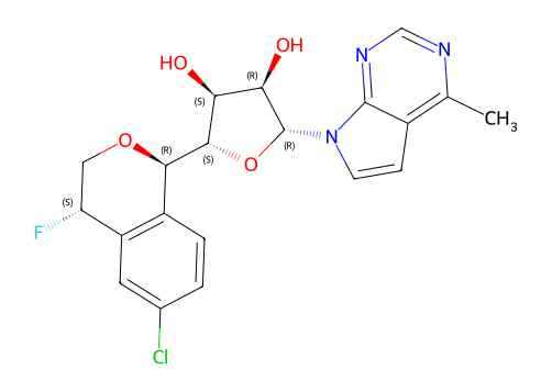 Cc1ncnc2c1ccn2[C@@H]1O[C@H]([C@@H]2OC[C@@H](F)c3cc(Cl)ccc32)[C@@H](O)[C@H]1O